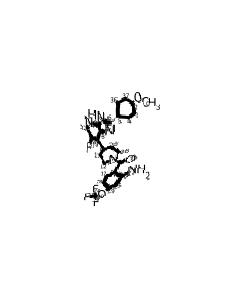 CO[C@H]1CC[C@H](c2nc3c(C4CCN(C(=O)c5ccc(OC(F)(F)F)cc5N)CC4)c(F)cnc3[nH]2)CC1